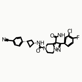 N#Cc1ccc([C@H]2C[C@@H](NC(=O)N3CCn4nc(-c5ccc(F)c(Cl)c5)c(C(N)=O)c4C3)C2)cc1